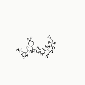 Cc1nonc1C(=O)N[C@H](c1cn2ncc([C@@H](NC(=O)C(F)(F)CC3CC3)C3(C#N)CC3)cc2n1)C1CCC(F)(F)CC1